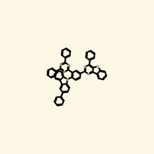 c1ccc(-c2ccc3c(c2)c2ccccc2n3-c2ccc(-c3nc(-c4ccccc4)c4oc5ccccc5c4n3)cc2-c2nc(-c3ccccc3)nc(-c3ccccc3)n2)cc1